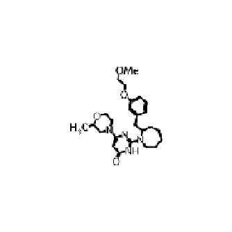 COCCOc1cccc(CC2CCCCCN2c2nc(N3CCOC(C)C3)cc(=O)[nH]2)c1